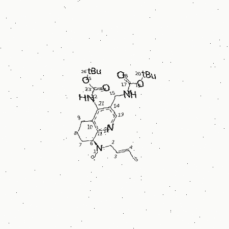 [CH2]N(CC=CC)[C@H]1CCCc2c1ncc(CNC(=O)OC(C)(C)C)c2NC(=O)OC(C)(C)C